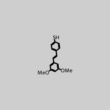 COc1cc(C=Cc2ccc(S)cc2)cc(OC)c1